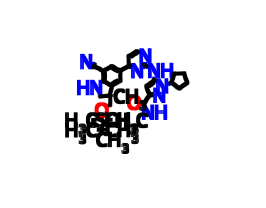 CNC(=O)c1cc(Nc2nccc(-c3cc(C#N)c4c(c3)[C@@](C)(CO[Si](C)(C)C(C)(C)C)CN4)n2)n(C2CCCC2)n1